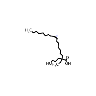 CCCCCCCC/C=C\CCCCCCC(CC)(CCCO)C(=O)O